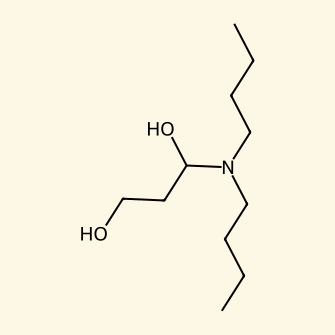 CCCCN(CCCC)C(O)CCO